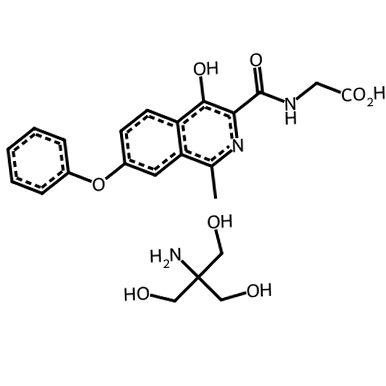 Cc1nc(C(=O)NCC(=O)O)c(O)c2ccc(Oc3ccccc3)cc12.NC(CO)(CO)CO